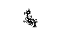 O=C(NCc1ccc(F)cc1F)C1=CN2CC3OCC(C4CC4)N3C(=O)C2=C(O)C1O